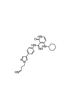 N=CCCn1cc(-c2ccc(NC(=N)c3c(NC4CCCCC4)cc[nH]c3=O)cc2)cn1